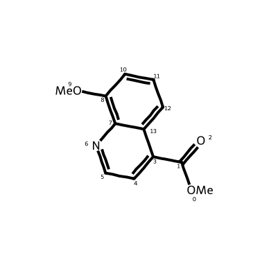 COC(=O)c1ccnc2c(OC)cccc12